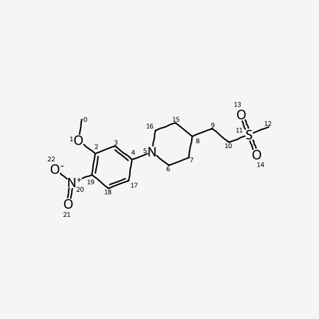 COc1cc(N2CCC(CCS(C)(=O)=O)CC2)ccc1[N+](=O)[O-]